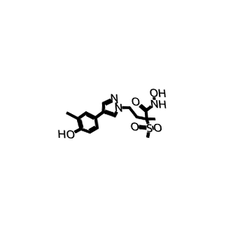 Cc1cc(-c2cnn(CCC(C)(C(=O)NO)S(C)(=O)=O)c2)ccc1O